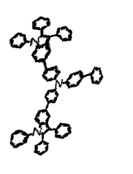 c1ccc(-c2ccc(N(c3ccc(-c4ccc5c(c4)c(-c4ccccc4)c(-c4ccccc4)n5-c4ccccc4)cc3)c3ccc(-c4ccc5c(c4)c(-c4ccccc4)c(-c4ccccc4)n5-c4ccccc4)cc3)cc2)cc1